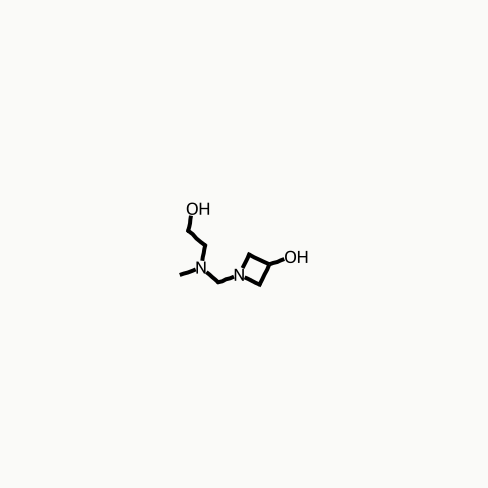 CN(CCO)CN1CC(O)C1